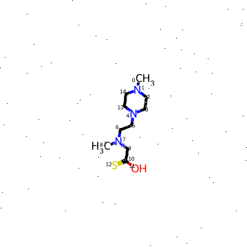 CN1CCN(CCN(C)CC(O)=S)CC1